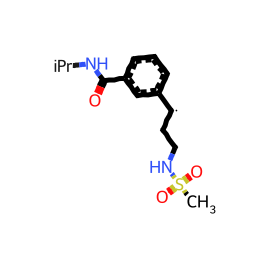 CC(C)NC(=O)c1cccc([CH]CCNS(C)(=O)=O)c1